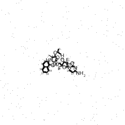 CC(C)OC(=O)[C@H](C)NP(=S)(OC[C@@]1(F)O[C@@H](n2ccc(N)nc2=O)[C@](C)(F)[C@@H]1O)Oc1cccc2ccccc12